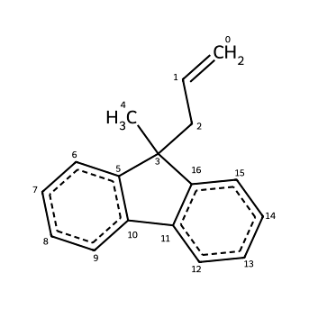 C=CCC1(C)c2ccccc2-c2ccccc21